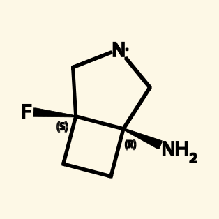 N[C@@]12CC[C@]1(F)C[N]C2